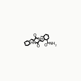 Cc1cccc(C(N)=O)c1C=c1[nH]c(=O)c(=Cc2ccccc2)[nH]c1=O